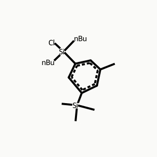 CCCC[Si](Cl)(CCCC)c1cc(C)cc([Si](C)(C)C)c1